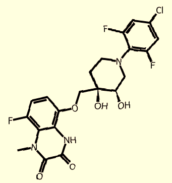 Cn1c(=O)c(=O)[nH]c2c(OC[C@]3(O)CCN(c4c(F)cc(Cl)cc4F)C[C@H]3O)ccc(F)c21